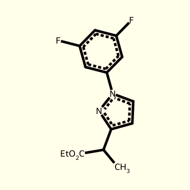 CCOC(=O)C(C)c1ccn(-c2cc(F)cc(F)c2)n1